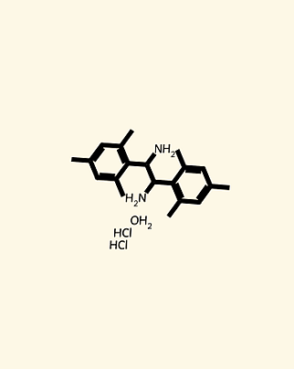 Cc1cc(C)c(C(N)C(N)c2c(C)cc(C)cc2C)c(C)c1.Cl.Cl.O